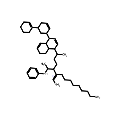 CC(CCC(/C(=C/N)CCCCCCCCN)C(C)Nc1ccccc1)C1C=CC(C2C=CCC(C3=CCCCC3)C2)C2C=CCCC12